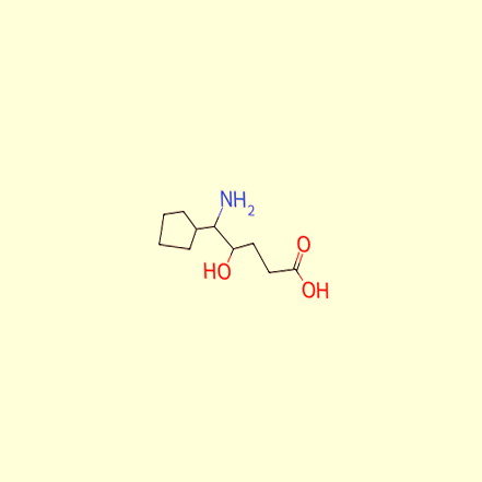 NC(C(O)CCC(=O)O)C1CCCC1